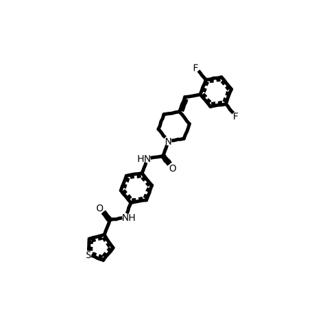 O=C(Nc1ccc(NC(=O)N2CCC(=Cc3cc(F)ccc3F)CC2)cc1)c1ccsc1